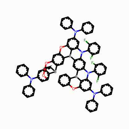 Fc1cccc(F)c1N1c2cc3c(cc2B2c4ccccc4Oc4cc(N(c5ccccc5)c5ccccc5)cc1c42)B1c2cc4c(cc2Oc2cc(N(c5ccccc5)c5ccccc5)cc(c21)N3c1c(F)cccc1F)Oc1cc(N(c2ccccc2)c2ccccc2)cc2c1B4c1ccccc1O2